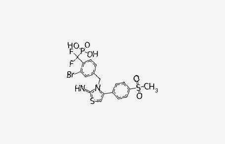 CS(=O)(=O)c1ccc(-c2csc(=N)n2Cc2ccc(C(F)(F)P(=O)(O)O)c(Br)c2)cc1